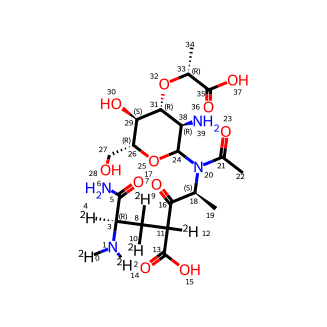 [2H]N([2H])[C@@]([2H])(C(N)=O)C([2H])([2H])C([2H])(C(=O)O)C(=O)[C@H](C)N(C(C)=O)C1O[C@H](CO)[C@@H](O)[C@H](O[C@H](C)C(=O)O)[C@H]1N